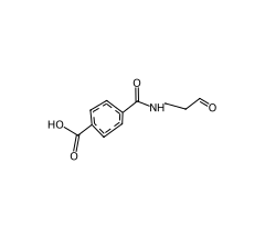 O=CCCNC(=O)c1ccc(C(=O)O)cc1